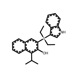 CCS(CC)(c1cc2ccccc2c(C(C)C)c1O)c1c[nH]c2ccccc12